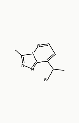 Cc1nnc2c(C(C)Br)ccnn12